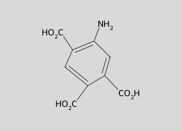 Nc1cc(C(=O)O)c(C(=O)O)cc1C(=O)O